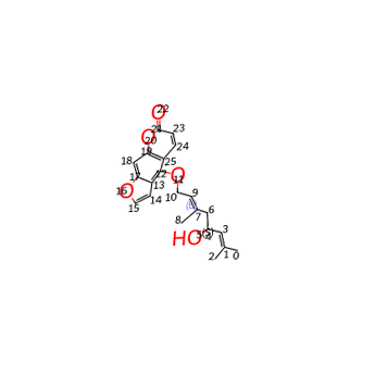 CC(C)=C[C@@H](O)C/C(C)=C/COc1c2ccoc2cc2oc(=O)ccc12